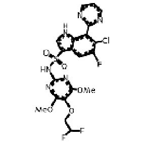 COc1nc(NS(=O)(=O)c2c[nH]c3c(-c4ncccn4)c(Cl)c(F)cc23)nc(OC)c1OCC(F)F